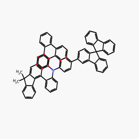 CC1(C)c2ccccc2-c2c(-c3ccccc3N(c3ccc(-c4ccc5c(c4)-c4ccccc4C54c5ccccc5-c5ccccc54)cc3)c3ccccc3-c3ccccc3-c3ccccc3-c3ccccc3)cccc21